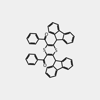 O=C(C1=C(C2c3ccccc3-c3ccccc32)SC(C2c3ccccc3-c3ccccc32)=C(C(=O)c2ccccc2)S1)c1ccccc1